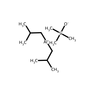 CC(C)[CH2][Al+][CH2]C(C)C.C[Si](C)(C)[O-]